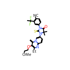 C=C1C(OCCOC)=C(CC)N=C2C=CC(N3C(=S)N(c4ccc(C#N)c(C(C)(F)F)c4)C(=O)C3(C)C)=CN12